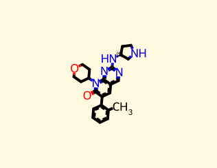 Cc1ccccc1-c1cc2cnc(N[C@H]3CCNC3)nc2n(C2CCOCC2)c1=O